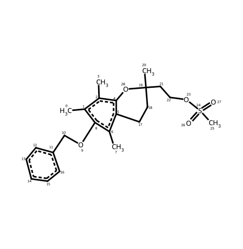 Cc1c(C)c2c(c(C)c1OCc1ccccc1)CCC(C)(CCOS(C)(=O)=O)O2